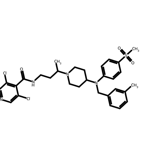 Cc1cccc(CN(c2ccc(S(C)(=O)=O)cc2)C2CCN(C(C)CCNC(=O)c3c(Cl)cncc3Cl)CC2)c1